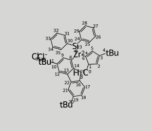 CC1C=C(C(C)(C)C)C=[C]1[Zr+2]([c]1cc(C(C)(C)C)cc2c1Cc1ccc(C(C)(C)C)cc1-2)=[Si](c1ccccc1)c1ccccc1.[Cl-].[Cl-]